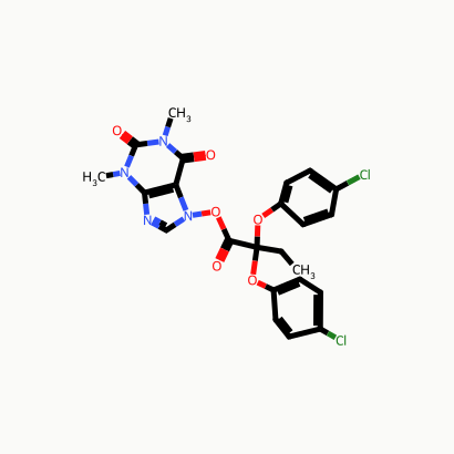 CCC(Oc1ccc(Cl)cc1)(Oc1ccc(Cl)cc1)C(=O)On1cnc2c1c(=O)n(C)c(=O)n2C